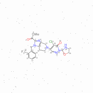 COC(=O)c1nc2c(n1Cc1ccccc1C(F)(F)F)CCN(c1cnn(C3NCCO3)c(=O)c1Cl)C2